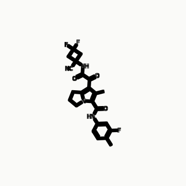 Cc1ccc(NC(=O)c2c(C)c(C(=O)C(=O)NC3(C#N)CC(F)(F)C3)c3n2CCC3)cc1F